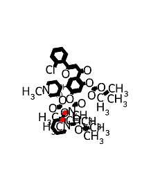 CN1CC[C@H](c2c(OC(=O)N(C)CC3CCCCN3C(=O)OC(C)(C)C)cc(OC(=O)OC(C)(C)C)c3c(=O)cc(-c4ccccc4Cl)oc23)[C@H](OC(=O)OC(C)(C)C)C1